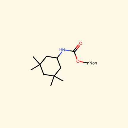 CCCCCCCCCOC(=O)NC1CC(C)(C)CC(C)(C)C1